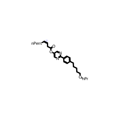 CCCCC/C=C\CC(=O)Oc1cnc(-c2ccc(CCCCCOCCC)cc2)nc1